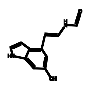 O=CNC=Cc1cc(O)cc2[nH]ccc12